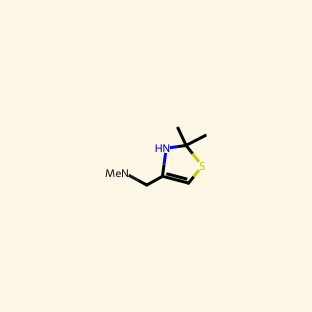 CNCC1=CSC(C)(C)N1